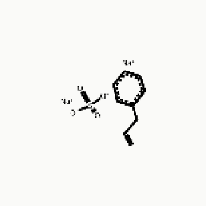 C=CCc1ccccc1.O=S(=O)([O-])[O-].[Na+].[Na+]